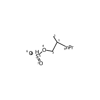 CCCC(C)CO[SH](=O)=O